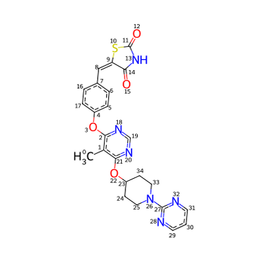 Cc1c(Oc2ccc(C=C3SC(=O)NC3=O)cc2)ncnc1OC1CCN(c2ncccn2)CC1